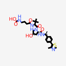 Cc1ncsc1-c1ccc([C@H](C)NC(=O)[C@@H]2C[C@@H](O)CN2C(=O)[C@@H](NC(=O)CCCNC(=O)O)C(C)(C)C)cc1